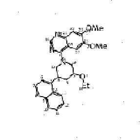 CCOC1CC(c2cccc3ccccc23)CN(c2ncnc3cc(OC)c(OC)cc23)C1